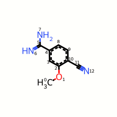 COc1cc(C(=N)N)ccc1C#N